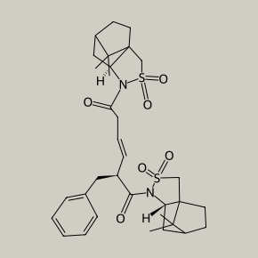 CC1(C)C2CCC13CS(=O)(=O)N(C(=O)C/C=C/[C@H](Cc1ccccc1)C(=O)N1[C@H]4CC5CCC4(CS1(=O)=O)C5(C)C)[C@H]3C2